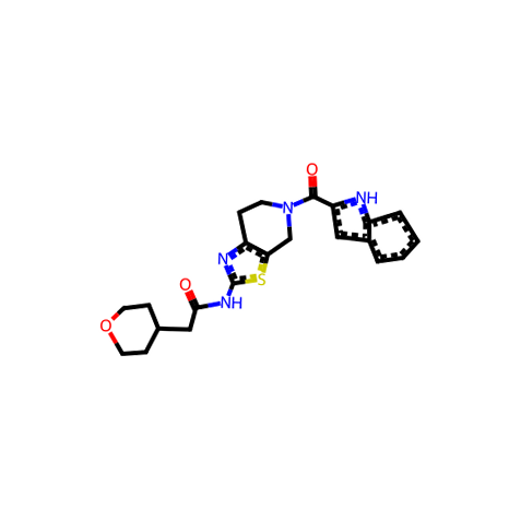 O=C(CC1CCOCC1)Nc1nc2c(s1)CN(C(=O)c1cc3ccccc3[nH]1)CC2